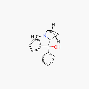 CN1C[C@@H]2C[C@@H]2C1C(O)(c1ccccc1)c1ccccc1